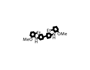 CCc1cccc(OC)c1Nc1ccc(-c2ccc(Nc3c(CC)cccc3OC)cc2)cc1